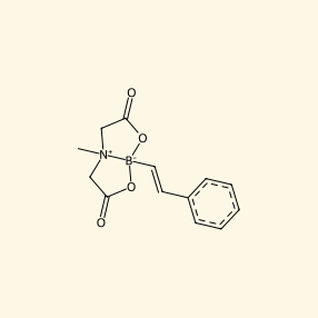 C[N+]12CC(=O)O[B-]1(/C=C/c1ccccc1)OC(=O)C2